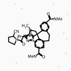 CNC(=O)c1ccc2c(c1)CCc1cc(C(=O)NC)ccc1C2(C[C@H](C)NCC(=O)N1CCCC1C#N)c1nnc(C(C)C)[nH]1